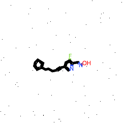 O/N=C/c1ncc(C#CCCCc2ccccc2)cc1F